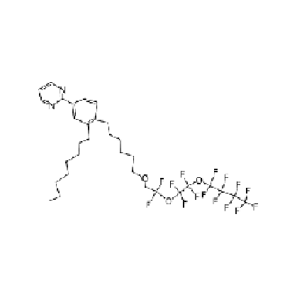 CCCCCCCCc1cc(-c2ncccn2)ccc1CCCCCCOCC(F)(F)OC(F)(F)C(F)(F)OC(F)(F)C(F)(F)C(F)(F)C(F)(F)F